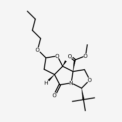 CCCCOC1C[C@H]2C(=O)N3[C@H](C(C)(C)C)OC[C@@]3(C(=O)OC)[C@@]2(C)O1